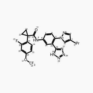 CC(C)c1cnn(-c2ccc(NC(=O)C3(c4ccc(OC(F)(F)F)cc4F)CC3)cc2-c2nnn[nH]2)c1